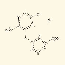 CC(C)COc1ccc(Cl)cc1Cc1cccc(C(=O)[O-])n1.[Na+]